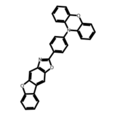 c1ccc2c(c1)Oc1ccccc1N2c1ccc(-c2nc3cc4oc5ccccc5c4cc3o2)cc1